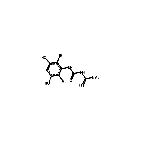 CCc1c(O)cc(O)c(CC)c1NC(=O)NC(=N)NC